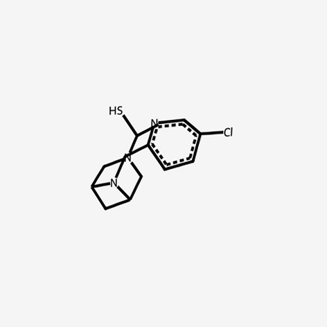 CC(S)N1CC2CC(C1)N2Cc1ccc(Cl)cn1